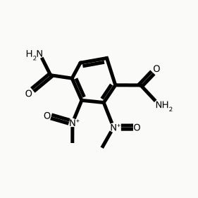 C[N+](=O)c1c(C(N)=O)ccc(C(N)=O)c1[N+](C)=O